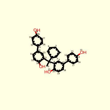 CC(c1ccccc1)(c1cc(-c2ccc(O)cc2)ccc1O)c1cc(-c2ccc(O)cc2)ccc1O